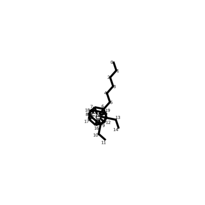 CCCCCC[C]12[CH]3[CH]4[C]5(CC)[C]1(CC)[Fe]43521678[CH]2[CH]1[CH]6[CH]7[CH]28